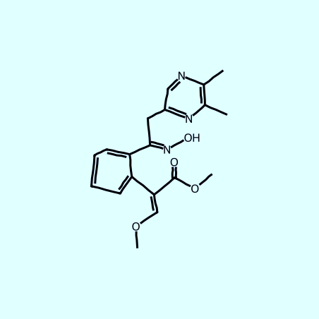 CO/C=C(/C(=O)OC)c1ccccc1/C(Cc1cnc(C)c(C)n1)=N/O